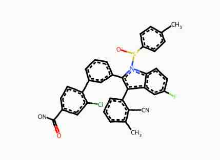 Cc1ccc([S+]([O-])n2c(-c3cccc(-c4ccc(C(=O)N=O)cc4Cl)c3)c(-c3cccc(C)c3C#N)c3cc(F)ccc32)cc1